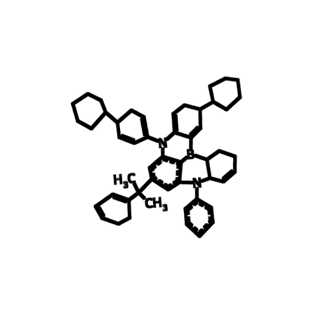 CC(C)(C1=CC=CCC1)c1cc2c3c(c1)N(c1ccccc1)C1C=CCCC1B3C1=CC(C3CCCCC3)CC=C1N2C1=CCC(C2CCCCC2)C=C1